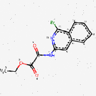 CCOC(=O)C(=O)Nc1cc2ccccc2c(Br)n1